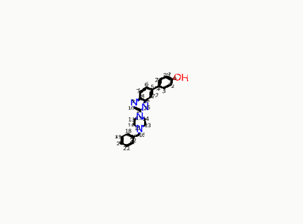 Oc1ccc(-c2ccc3ncc(N4CCN(Cc5ccccc5)CC4)nc3c2)cc1